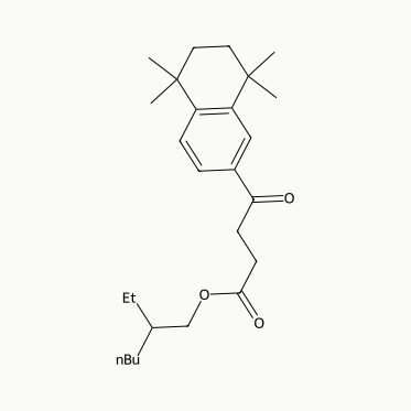 CCCCC(CC)COC(=O)CCC(=O)c1ccc2c(c1)C(C)(C)CCC2(C)C